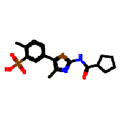 Cc1ccc(-c2sc(NC(=O)C3CCCC3)nc2C)cc1S(=O)(=O)O